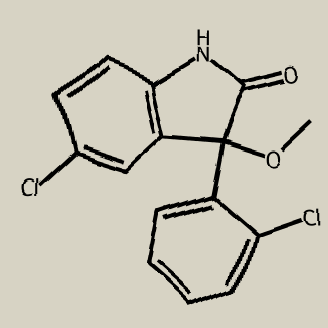 COC1(c2ccccc2Cl)C(=O)Nc2ccc(Cl)cc21